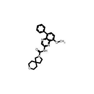 COc1ccc(-c2ccccc2)c2ncc(NC(=O)N3CCC4(CCOCC4)C3)nc12